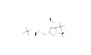 CC(C)(C)OC(=O)NC[C@@H]1CN(C(=O)O)[C@](CC=O)(C(C)(C)C)C1